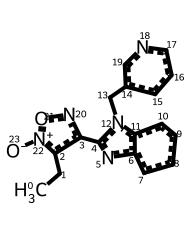 CCc1c(-c2nc3ccccc3n2Cc2cccnc2)no[n+]1[O-]